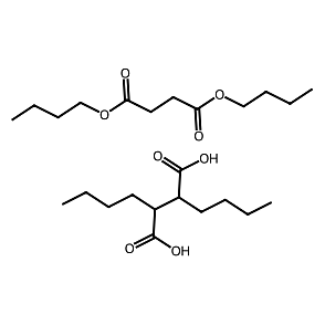 CCCCC(C(=O)O)C(CCCC)C(=O)O.CCCCOC(=O)CCC(=O)OCCCC